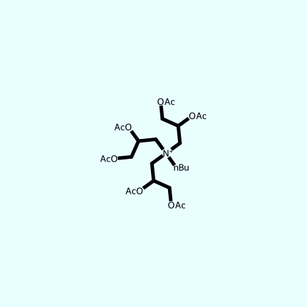 CCCC[N+](CC(COC(C)=O)OC(C)=O)(CC(COC(C)=O)OC(C)=O)CC(COC(C)=O)OC(C)=O